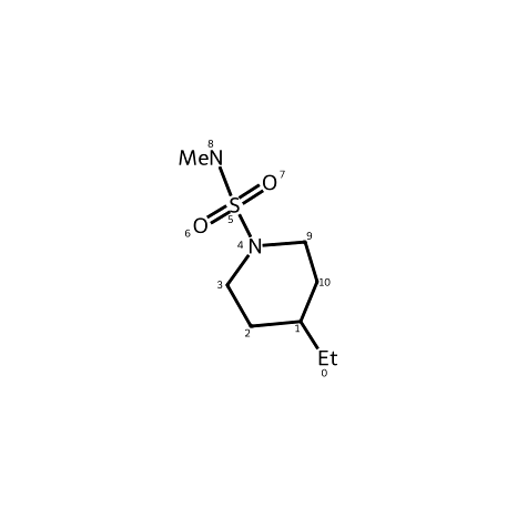 CCC1CCN(S(=O)(=O)NC)CC1